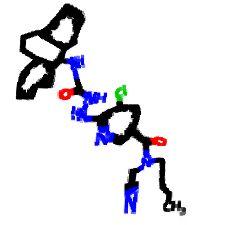 CCCCN(CC#N)C(=O)c1cnc(NNC(=O)NC2c3ccccc3CCc3ccccc32)c(Cl)c1